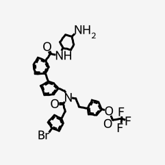 NC1CCC(NC(=O)c2cccc(-c3cccc(CN(CCc4ccc(OC(=O)C(F)(F)F)cc4)C(=O)Cc4ccc(Br)cc4)c3)c2)CC1